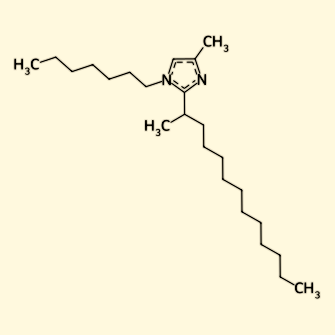 CCCCCCCCCCCC(C)c1nc(C)cn1CCCCCCC